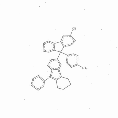 Cc1ccc(C2(c3ccc4c(c3)c3c(n4-c4ccccc4)CCCC3)c3ccccc3-c3cc(C#N)ccc32)cc1